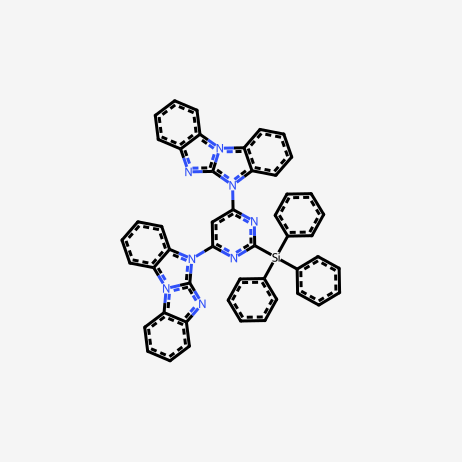 c1ccc([Si](c2ccccc2)(c2ccccc2)c2nc(-n3c4ccccc4n4c5ccccc5nc34)cc(-n3c4ccccc4n4c5ccccc5nc34)n2)cc1